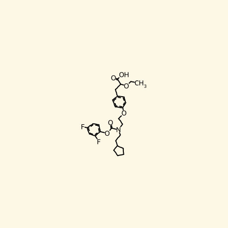 CCOC(Cc1ccc(OCCN(CCC2CCCC2)C(=O)Oc2ccc(F)cc2F)cc1)C(=O)O